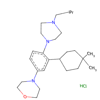 CC(C)CN1CCN(c2ccc(N3CCOCC3)cc2C2CCC(C)(C)CC2)CC1.Cl